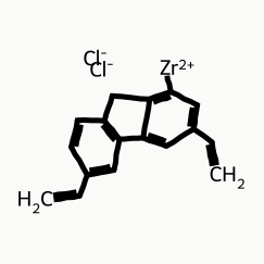 C=Cc1ccc2c(c1)-c1cc(C=C)c[c]([Zr+2])c1C2.[Cl-].[Cl-]